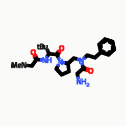 CNCC(=O)NC(C(=O)N1CCCC1CN(CCc1ccccc1)C(=O)CN)C(C)(C)C